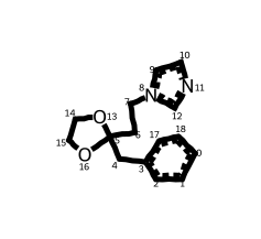 c1ccc(CC2(CCn3ccnc3)OCCO2)cc1